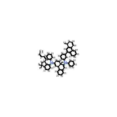 CC/C=C\C=C/C1CC(C)(C)c2cccc(N(C3=CC4c5ccccc5C=C(N(c5ccccc5)c5cccc(-c6cc7c(c8ccccc68)C=CCC7C)c5)C4(C)C=C3)c3ccccc3)c21